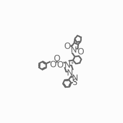 O=C(OCc1ccccc1)OC[N+]1(CC2CCCCC2CN2C(=O)C3C4CCC(C4)C3C2=O)CCN(c2nsc3ccccc23)CC1